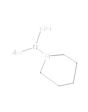 CCCC[N](CCCC)[Al]1[CH2]CCC[CH2]1